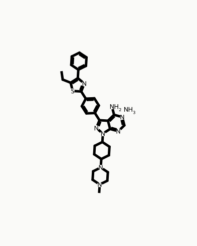 CCc1sc(-c2ccc(-c3nn(C4CCC(N5CCN(C)CC5)CC4)c4ncnc(N)c34)cc2)nc1-c1ccccc1.N